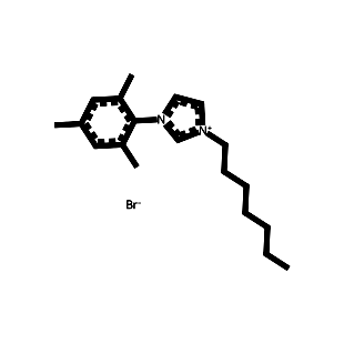 CCCCCCC[n+]1ccn(-c2c(C)cc(C)cc2C)c1.[Br-]